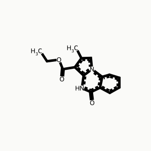 CCOC(=O)c1c(C)cn2c1[nH]c(=O)c1ccccc12